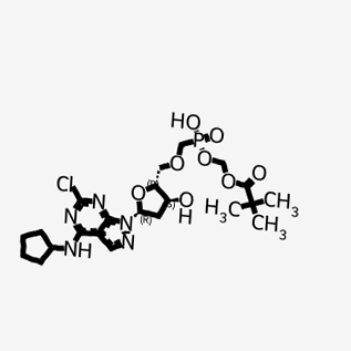 CC(C)(C)C(=O)OCOP(=O)(O)COC[C@H]1O[C@@H](n2ncc3c(NC4CCCC4)nc(Cl)nc32)C[C@@H]1O